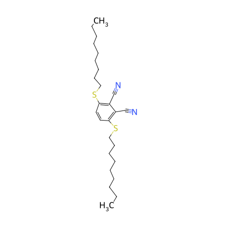 CCCCCCCCCSc1ccc(SCCCCCCCCC)c(C#N)c1C#N